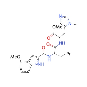 COC(=O)[C@H](Cc1cncn1C)NC(=O)[C@H](CC(C)C)NC(=O)c1cc2c(OC)cccc2[nH]1